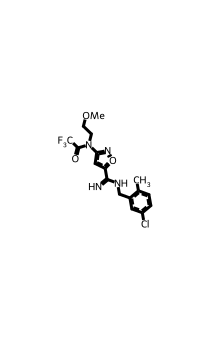 COCCN(C(=O)C(F)(F)F)c1cc(C(=N)NCc2cc(Cl)ccc2C)on1